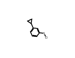 ClSc1cccc([C]2CC2)c1